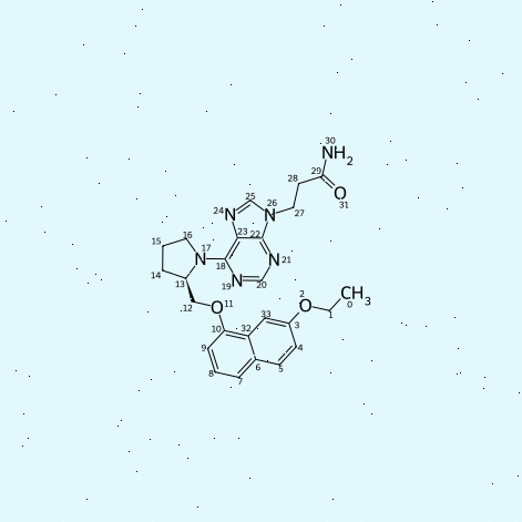 CCOc1ccc2cccc(OC[C@H]3CCCN3c3ncnc4c3ncn4CCC(N)=O)c2c1